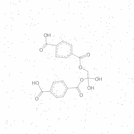 O=C(O)c1ccc(C(=O)OCC(O)(O)OC(=O)c2ccc(C(=O)O)cc2)cc1